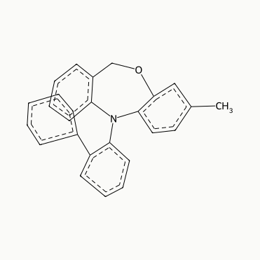 Cc1ccc2c(c1)OCc1ccccc1N2c1ccccc1-c1ccccc1